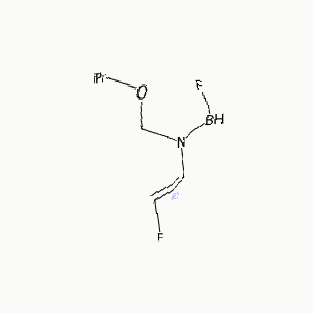 CC(C)OCN(BF)/C=C/F